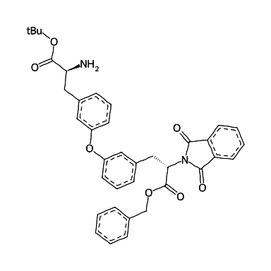 CC(C)(C)OC(=O)[C@@H](N)Cc1cccc(Oc2cccc(C[C@@H](C(=O)OCc3ccccc3)N3C(=O)c4ccccc4C3=O)c2)c1